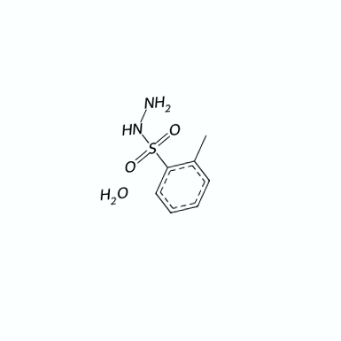 Cc1ccccc1S(=O)(=O)NN.O